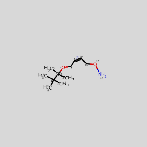 CC(C)(C)[Si](C)(C)OC/C=C\CON